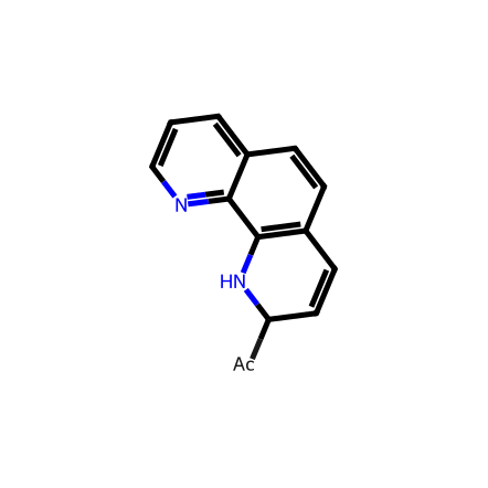 CC(=O)C1C=Cc2ccc3cccnc3c2N1